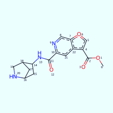 COC(=O)c1coc2cnc(C(=O)NC3CC4CC3CN4)cc12